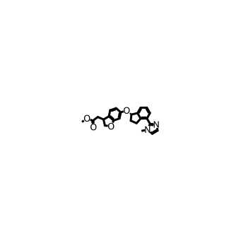 COC(=O)CC1COc2cc(O[C@@H]3CCc4c(-c5nccn5C)cccc43)ccc21